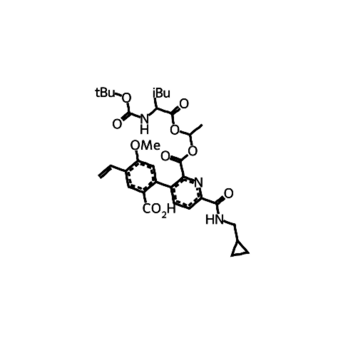 C=Cc1cc(C(=O)O)c(-c2ccc(C(=O)NCC3CC3)nc2C(=O)OC(C)OC(=O)C(NC(=O)OC(C)(C)C)C(C)CC)cc1OC